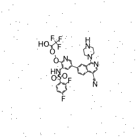 COc1ncc(-c2ccc3c(C#N)cnc(N4CCNCC4)c3c2)cc1NS(=O)(=O)c1ccc(F)cc1F.O=C(O)C(F)(F)F